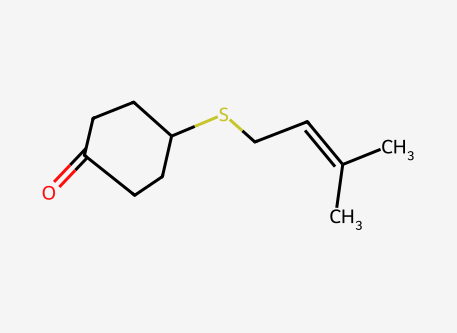 CC(C)=CCSC1CCC(=O)CC1